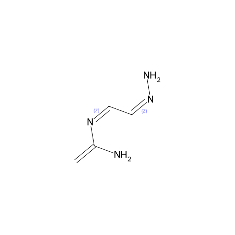 C=C(N)/N=C\C=N/N